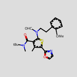 COc1ccccc1CCN(C=O)c1sc(-c2ncco2)c(C)c1C(=O)N(C)C(C)(C)C